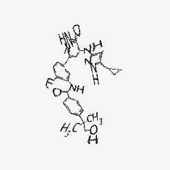 CC(C)(CO)c1ccc(C(=O)Nc2cc(-c3cc(Nc4cc(C5CC5)[nH]n4)c(=O)[nH]n3)ccc2F)cc1